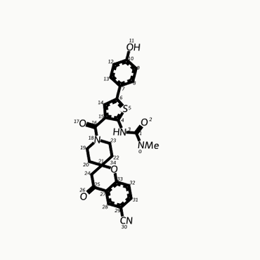 CNC(=O)Nc1sc(-c2ccc(O)cc2)cc1C(=O)N1CCC2(CC1)CC(=O)c1cc(C#N)ccc1O2